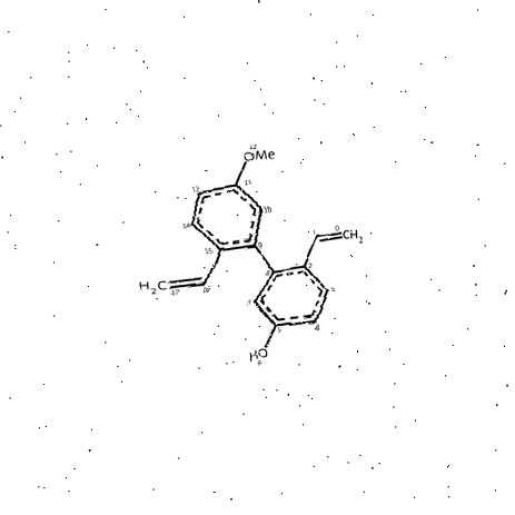 C=Cc1ccc(O)cc1-c1cc(OC)ccc1C=C